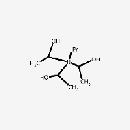 CC(C)[N+](C(C)O)(C(C)O)C(C)O